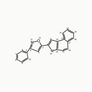 C1=C(c2cc(-c3ccccc3)no2)[N]c2ccc3ccccc3c21